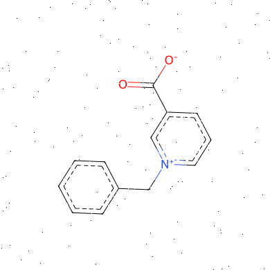 O=C([O-])c1ccc[n+](Cc2ccccc2)c1